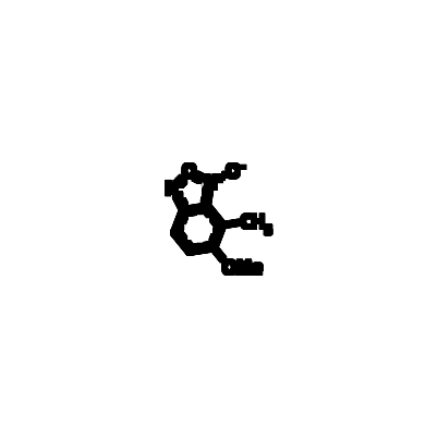 COc1ccc2no[n+]([O-])c2c1C